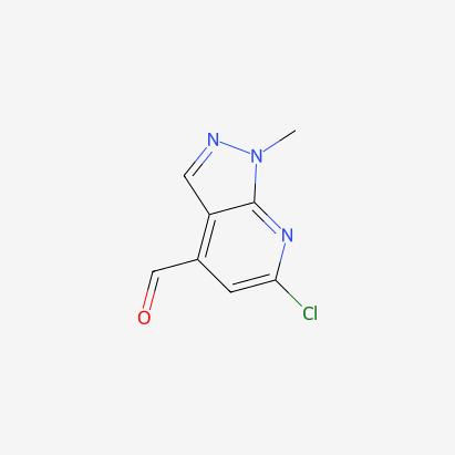 Cn1ncc2c(C=O)cc(Cl)nc21